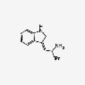 CC(C)C(N)C=C1CNc2ccccc21